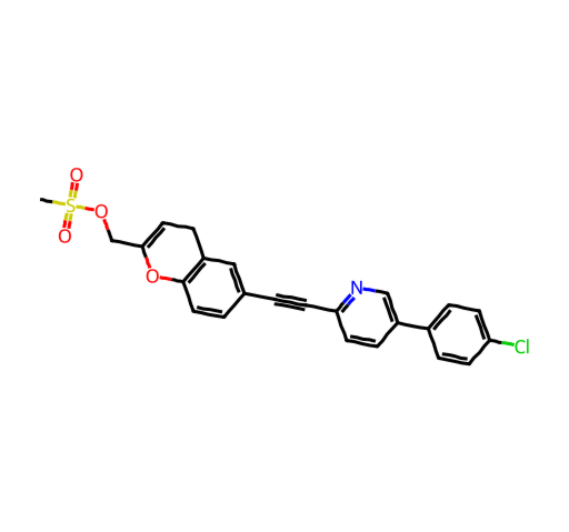 CS(=O)(=O)OCC1=CCc2cc(C#Cc3ccc(-c4ccc(Cl)cc4)cn3)ccc2O1